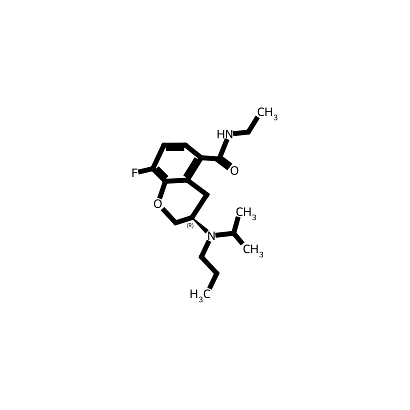 CCCN(C(C)C)[C@H]1COc2c(F)ccc(C(=O)NCC)c2C1